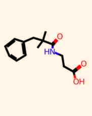 CC(C)(Cc1ccccc1)C(=O)NCCC(=O)O